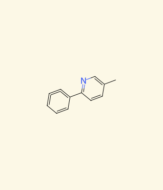 Cc1ccc(C2=C=C=CC=C2)nc1